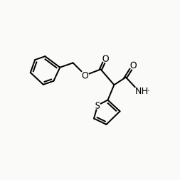 [NH]C(=O)C(C(=O)OCc1ccccc1)c1cccs1